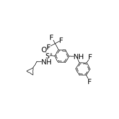 [O-][S+](NCC1CC1)c1ccc(Nc2ccc(F)cc2F)cc1C(F)(F)F